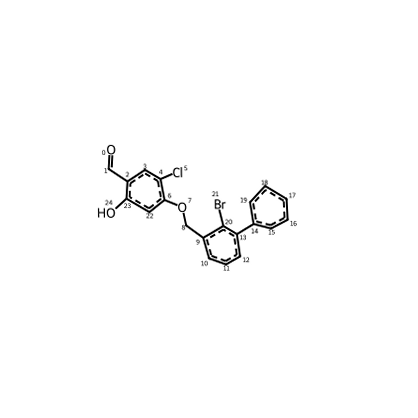 O=Cc1cc(Cl)c(OCc2cccc(-c3ccccc3)c2Br)cc1O